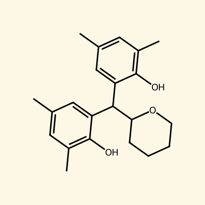 Cc1cc(C)c(O)c(C(c2cc(C)cc(C)c2O)C2CCCCO2)c1